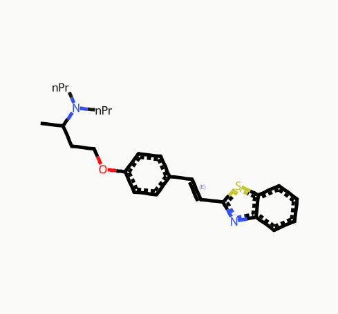 CCCN(CCC)C(C)CCOc1ccc(/C=C/c2nc3ccccc3s2)cc1